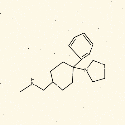 CNCC1CCC(c2ccccc2)(N2CCCC2)CC1